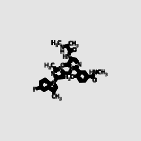 CNC(=O)c1ccc(C)c(-c2ncc(NC(=O)[C@H](C)NC)c(=O)n2Cc2cc(-n3cc(C)c4cc(F)ccc43)nc(C)n2)c1